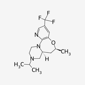 CC(C)N1CCN2c3ncc(C(F)(F)F)cc3O[C@@H](C)C[C@H]2C1